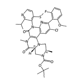 COc1cccc(F)c1-c1nc2c(cc1Cl)c1c(c(=O)n2-c2c(SC)ccnc2C(C)C)N(C)C(=O)[C@H]2CN(C(=O)OC(C)(C)C)[C@H](C)CN12